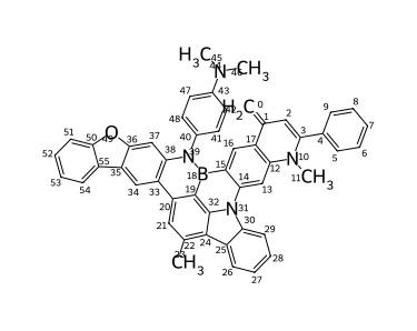 C=C1C=C(c2ccccc2)N(C)c2cc3c(cc21)B1c2c(cc(C)c4c5ccccc5n-3c24)-c2cc3c(cc2N1c1ccc(N(C)C)cc1)oc1ccccc13